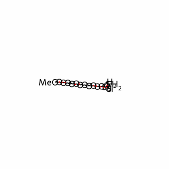 COCCOCCOCCOCCOCCOCCOCCOCCOCCOCCOCCOCCC[Si](C)(O[SiH2]C)O[SiH2]C